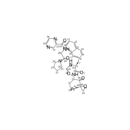 CC(C)CC(NC(=O)[C@H](Cc1ccc2ccccc2c1)NC(=O)[C@@H]1CCCN1C(=O)CNC(=O)c1cnccn1)C(=O)[C@@]1(C)CO1